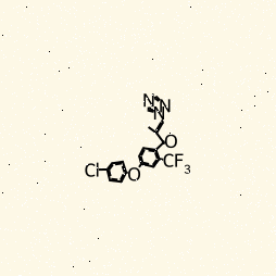 C/C(=C\n1cncn1)C(=O)c1ccc(Oc2ccc(Cl)cc2)cc1C(F)(F)F